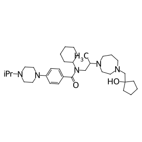 CC(C)N1CCN(c2ccc(C(=O)N(CC(C)N3CCCN(CC4(O)CCCC4)CC3)C3CCCCC3)cc2)CC1